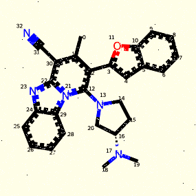 Cc1c(-c2cc3ccccc3o2)c(N2CC[C@H](N(C)C)C2)n2c(nc3ccccc32)c1C#N